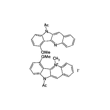 COc1cccc2c1c1c(cc3ccccc3[n+]1C)n2C(C)=O.COc1cccc2c1c1nc3ccccc3cc1n2C(C)=O.[I-]